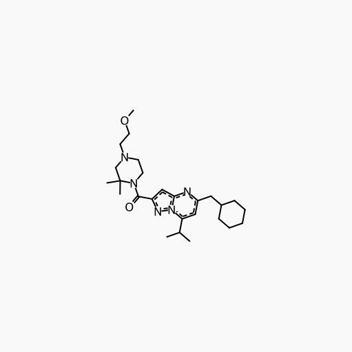 COCCN1CCN(C(=O)c2cc3nc(CC4CCCCC4)cc(C(C)C)n3n2)C(C)(C)C1